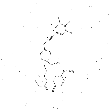 COc1ccc2ncc(CF)c([C@H](F)CCC3(CO)CCN(CC#Cc4cc(F)c(F)c(F)c4)CC3)c2c1